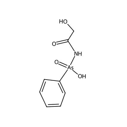 O=C(CO)N[As](=O)(O)c1ccccc1